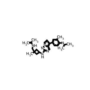 C=C(C)NCC1(C)CC(Nc2ncc3c(-c4ccc(N=C(C)C)c(C)c4)ccn3n2)C1